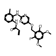 C=CC(=O)Nc1cccc(C)c1Nc1ncc(OCc2c(F)c(OC)cc(OC)c2Cl)cn1